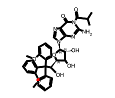 COc1ccccc1C(c1ccccc1)(c1ccccc1OC)C(O)[C@H]1O[C@@H](n2cnc3c(=O)n(C(=O)C(C)C)c(N)nc32)[C@H](O)[C]1O